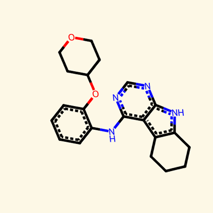 c1ccc(OC2CCOCC2)c(Nc2ncnc3[nH]c4c(c23)CCCC4)c1